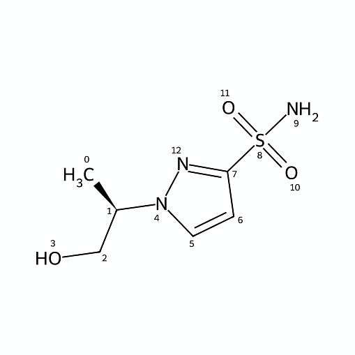 C[C@H](CO)n1ccc(S(N)(=O)=O)n1